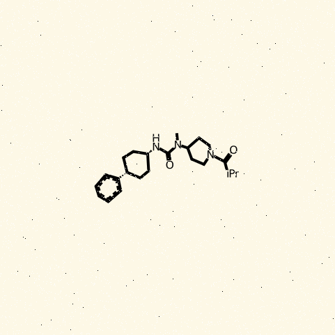 CC(C)C(=O)N1CCC(N(C)C(=O)N[C@H]2CC[C@@H](c3ccccc3)CC2)CC1